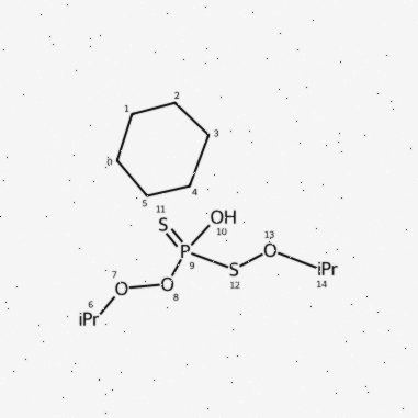 C1CCCCC1.CC(C)OOP(O)(=S)SOC(C)C